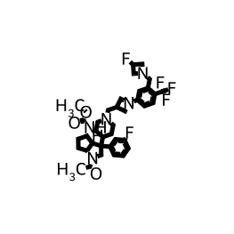 COC(=O)N[C@H]1CCC2[C@@H]1C(c1cccc(F)c1)(C1CCN(CC3CN(c4ccc(C(F)(F)F)c(CN5CC(F)C5)c4)C3)CC1)CN2C(C)=O